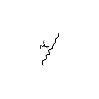 F[C](F)F.[CH2]CCCCCCCCCCC